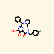 CC1CCCN1C(c1ccccc1)c1nc(O)c(O)c(C(=O)NCc2ccc(F)cc2)n1